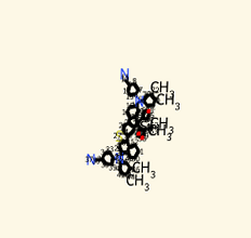 Cc1ccc(N(c2ccc(C#N)cc2)c2ccc3c(c2)C2(c4cc5c(cc4-3)sc3cc(N(c4ccc(C#N)cc4)c4ccc(C)c(C)c4)c4ccccc4c35)c3ccccc3[Si](C)(C)c3ccccc32)cc1C